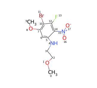 COCCNc1cc(OC)c(Br)c(F)c1[N+](=O)[O-]